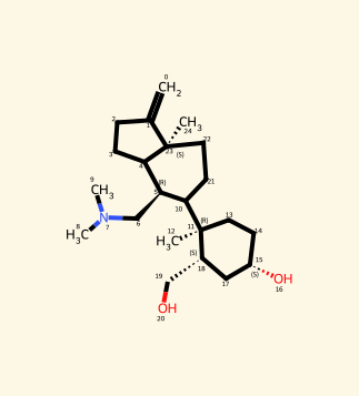 C=C1CCC2[C@H](CN(C)C)C([C@@]3(C)CC[C@H](O)C[C@@H]3CO)CC[C@]12C